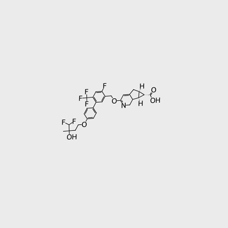 CC(O)(CCOc1ccc(-c2cc(COC3=NCC4C(=C3)C[C@H]3[C@H](C(=O)O)[C@@H]43)c(F)cc2C(F)(F)F)cc1)C(F)F